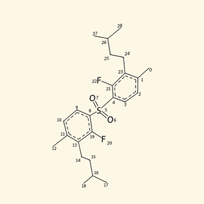 Cc1ccc(S(=O)(=O)c2ccc(C)c(CCC(C)C)c2F)c(F)c1CCC(C)C